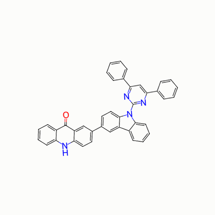 O=c1c2ccccc2[nH]c2ccc(-c3ccc4c(c3)c3ccccc3n4-c3nc(-c4ccccc4)cc(-c4ccccc4)n3)cc12